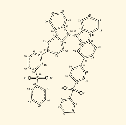 O=S(=O)(c1ccccc1)c1ccc(-c2ccc3c4ccccc4n(-n4c5ccccc5c5cc(-c6cccc(S(=O)(=O)c7ccccc7)c6)ccc54)c3c2)cc1